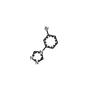 Brc1cccc(-n2cnnc2)c1